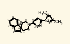 Cc1cc(C)n(-c2ccc(N3CCC4(C=Cc5ccccc54)CC3)nn2)n1